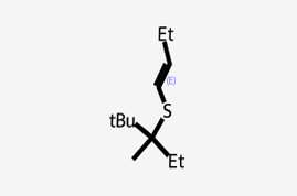 CC/C=C/SC(C)(CC)C(C)(C)C